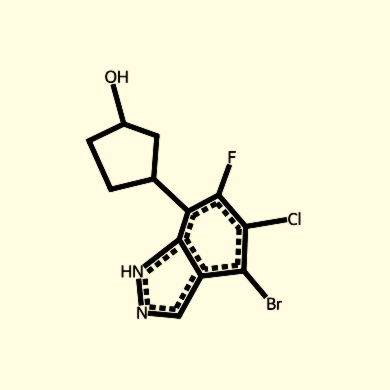 OC1CCC(c2c(F)c(Cl)c(Br)c3cn[nH]c23)C1